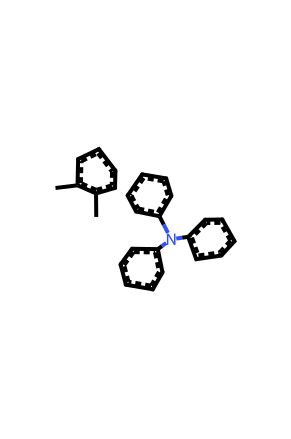 Cc1ccccc1C.c1ccc(N(c2ccccc2)c2ccccc2)cc1